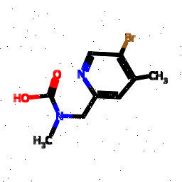 Cc1cc(CN(C)C(=O)O)ncc1Br